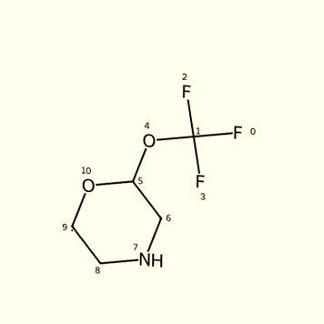 FC(F)(F)OC1CNC[CH]O1